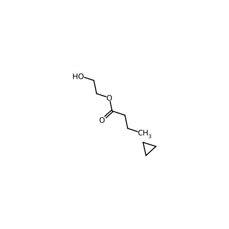 C1CC1.CCCC(=O)OCCO